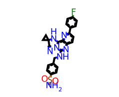 N#CC1(Nc2nc(NCc3ccc(S(N)(=O)=O)cc3)nc3ccc(-c4ccc(F)cc4)nc23)CC1